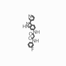 O=C(CC(=O)Nc1ccc2c(-c3cccnc3)n[nH]c2c1)Nc1cccc(F)c1